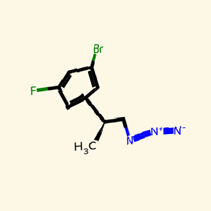 C[C@H](CN=[N+]=[N-])c1cc(F)cc(Br)c1